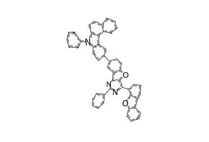 c1ccc(-c2nc(-c3cccc4c3oc3ccccc34)c3oc4ccc(-c5ccc6c(c5)c5c7ccccc7ccc5n6-c5ccccc5)cc4c3n2)cc1